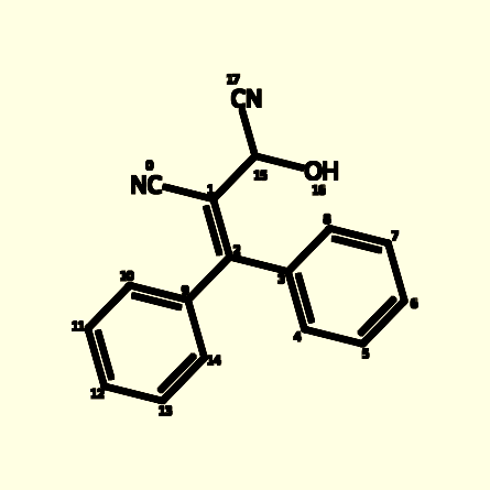 N#CC(=C(c1ccccc1)c1ccccc1)C(O)C#N